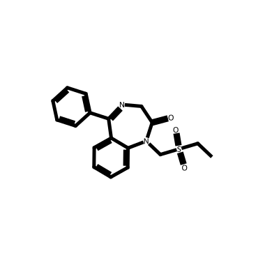 CCS(=O)(=O)CN1C(=O)CN=C(c2ccccc2)c2ccccc21